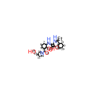 CC[C@@H](Nc1c(Nc2cccc(C(=O)N3CC[C@H](CO)C3)c2O)c(=O)c1=O)c1ccccc1